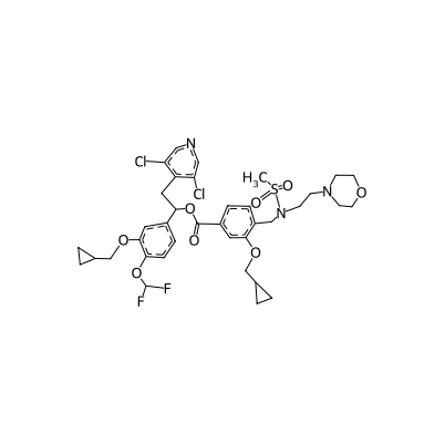 CS(=O)(=O)N(CCN1CCOCC1)Cc1ccc(C(=O)OC(Cc2c(Cl)cncc2Cl)c2ccc(OC(F)F)c(OCC3CC3)c2)cc1OCC1CC1